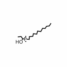 CCCCCCCCCCCC[P](C)(C)C(O)CC